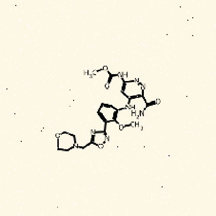 COC(=O)Nc1cc(Nc2cccc(-c3noc(CN4CCOCC4)n3)c2OC)c(C(N)=O)nn1